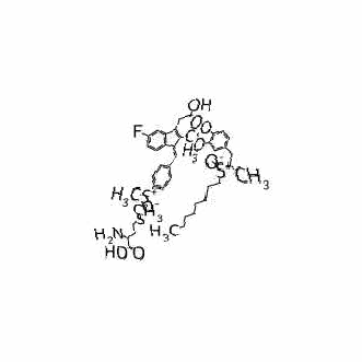 CC1=C(CC(=O)O)c2cc(F)ccc2/C1=C\c1ccc([S+](C)[O-])cc1.CCCCCCCC[S+]([O-])C(C)Cc1ccc2c(c1)OCO2.CSCC[C@H](N)C(=O)O